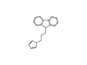 C1=CC(CCCC2c3ccccc3-c3ccccc32)C=C1